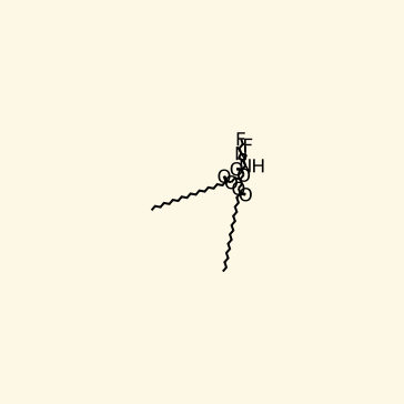 CCCCCCCCCCCCCCCCCC(=O)OCC(COC(=O)CCCCCCCCCCCCCCCCC)OC(=O)NC1CN(CC(F)F)C1